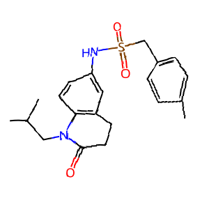 Cc1ccc(CS(=O)(=O)Nc2ccc3c(c2)CCC(=O)N3CC(C)C)cc1